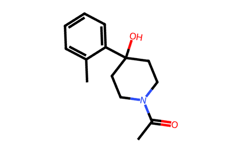 CC(=O)N1CCC(O)(c2ccccc2C)CC1